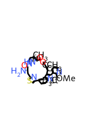 CCn1c(-c2cccnc2[C@H](C)OC)c2c3cc(ccc31)-c1csc(n1)C[C@H](N)C(=O)N1CC[C@H](C)[C@H](N1)C(=O)OCC(C)(C)C2